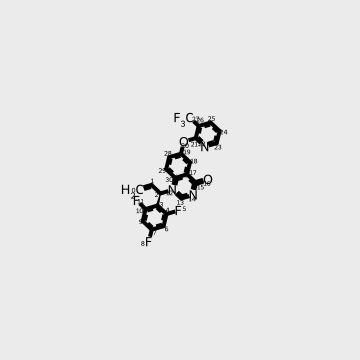 C=C[C@H](c1c(F)cc(F)cc1F)n1cnc(=O)c2cc(Oc3ncccc3C(F)(F)F)ccc21